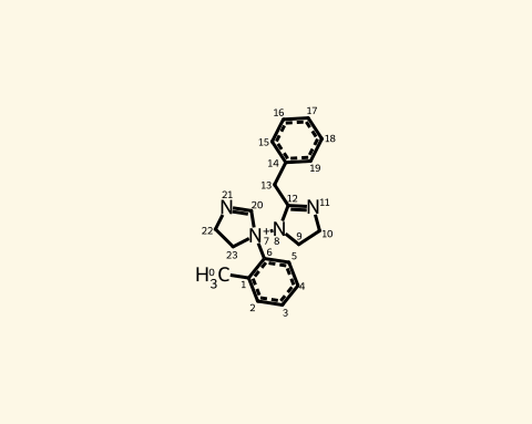 Cc1ccccc1[N+]1(N2CCN=C2Cc2ccccc2)C=NCC1